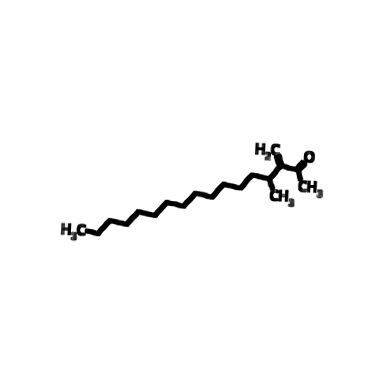 C=C(C(C)=O)C(C)CCCCCCCCCCCCC